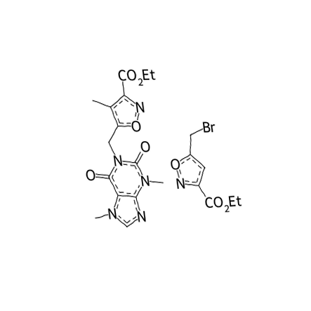 CCOC(=O)c1cc(CBr)on1.CCOC(=O)c1noc(Cn2c(=O)c3c(ncn3C)n(C)c2=O)c1C